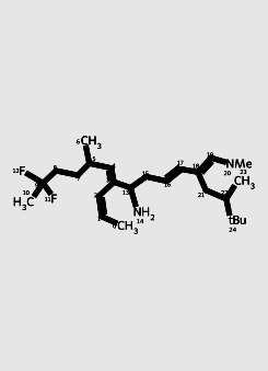 C/C=C\C(=C/C(C)CCC(C)(F)F)C(N)C/C=C/C(=C/NC)CC(C)C(C)(C)C